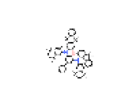 Cc1cc2c(cc1N1c3cc4c(cc3B3c5ccc6c(c5N(c5cc7c(cc5C)C(C)(C)CCC7(C)C)c5cc(-c7ccccc7)cc1c53)-c1ccccc1C6(C)C)C(C)(C)c1ccccc1C4(C)C)C(C)(C)CCC2(C)C